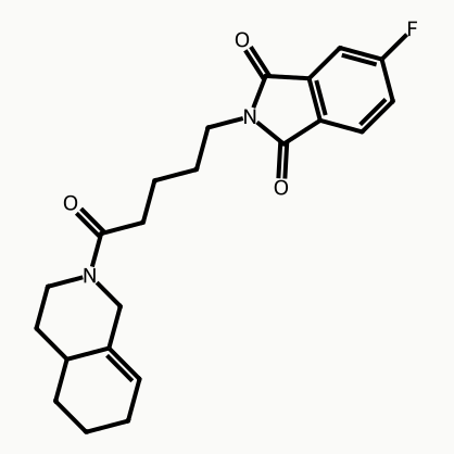 O=C(CCCCN1C(=O)c2ccc(F)cc2C1=O)N1CCC2CCCC=C2C1